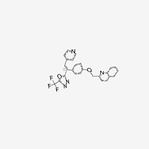 FC(F)(F)c1nnc(/C(=C/c2ccncc2)c2ccc(OCc3ccc4ccccc4n3)cc2)o1